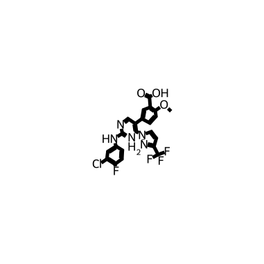 C=C(/N=C\C(=C(/N)n1ccc(C(F)(F)F)n1)c1ccc(OC)c(C(=O)O)c1)Nc1ccc(F)c(Cl)c1